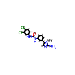 CC(C)n1c(-c2cccc(NC(=O)Nc3ccc(Cl)c(Cl)c3)c2)cnc1N